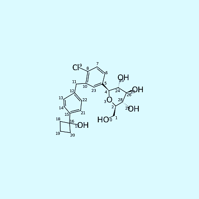 OC[C@H]1O[C@@H](c2ccc(Cl)c(Cc3ccc(C4(O)CCC4)cc3)c2)[C@H](O)[C@@H](O)[C@@H]1O